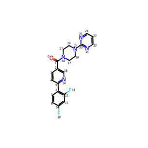 O=C(c1ccc(-c2ccc(F)cc2F)nc1)N1CCN(c2ncccn2)CC1